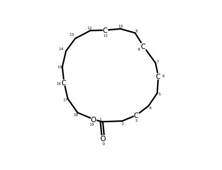 O=C1CCCCCCCCCCCCCCCCCO1